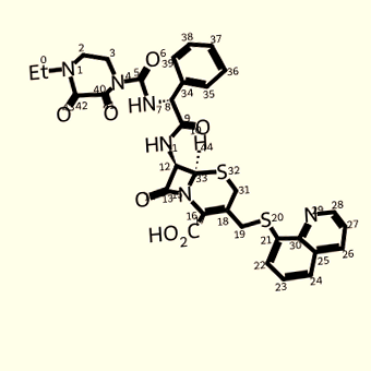 CCN1CCN(C(=O)N[C@@H](C(=O)N[C@@H]2C(=O)N3C(C(=O)O)=C(CSc4cccc5cccnc45)CS[C@H]23)c2ccccc2)C(=O)C1=O